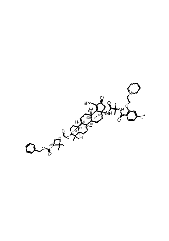 CC(C)C1=C2[C@H]3CC[C@@H]4[C@@]5(C)CC[C@H](OC(=O)[C@H]6C[C@@H](C(=O)OCc7ccccc7)C6(C)C)C(C)(C)[C@@H]5CC[C@@]4(C)[C@]3(C)CC[C@@]2(NC(=O)C(C)(C)NC(=O)c2ccc(Cl)cc2OCCN2CCCCC2)CC1=O